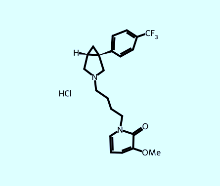 COc1cccn(CCCCN2C[C@@H]3C[C@]3(c3ccc(C(F)(F)F)cc3)C2)c1=O.Cl